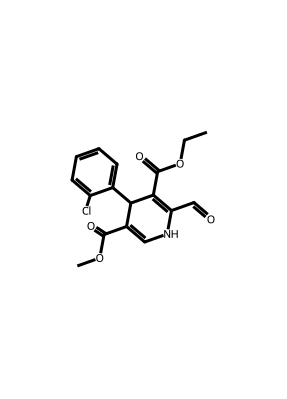 CCOC(=O)C1=C(C=O)NC=C(C(=O)OC)C1c1ccccc1Cl